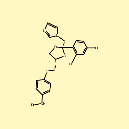 CCNc1ccc(OC[C@@H]2CO[C@@](Cn3ccnc3)(c3ccc(Cl)cc3Cl)O2)cc1